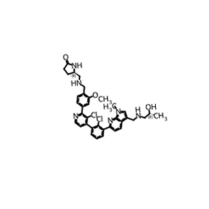 COc1cc(-c2nccc(-c3cccc(-c4ccc5c(CNC[C@@H](C)O)cn(C)c5n4)c3Cl)c2Cl)ccc1CNC[C@H]1CCC(=O)N1